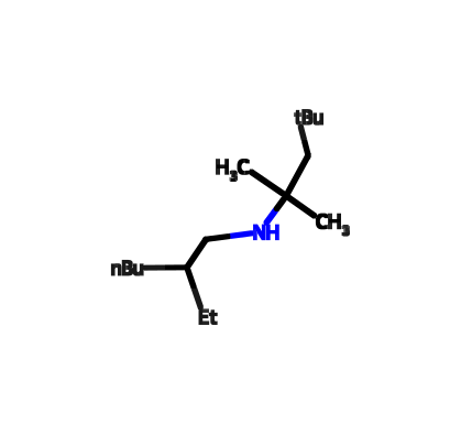 CCCCC(CC)CNC(C)(C)CC(C)(C)C